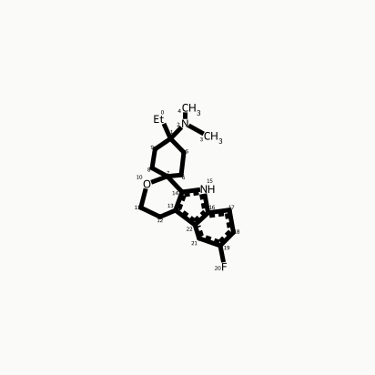 CCC1(N(C)C)CCC2(CC1)OCCc1c2[nH]c2ccc(F)cc12